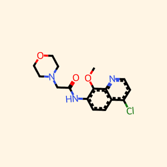 COc1c(NC(=O)CN2CCOCC2)ccc2c(Cl)ccnc12